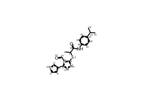 CC(Sc1nnc(-c2ccsc2)n1C=O)C(=O)Nc1ccc(C(C)C)cc1